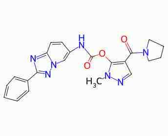 Cn1ncc(C(=O)N2CCCC2)c1OC(=O)Nc1ccc2nc(-c3ccccc3)nn2c1